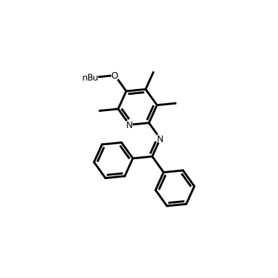 CCCCOc1c(C)nc(N=C(c2ccccc2)c2ccccc2)c(C)c1C